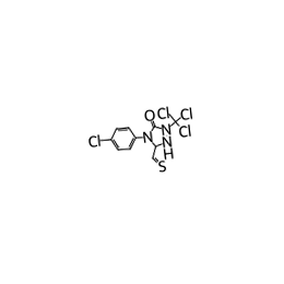 O=C1N(c2ccc(Cl)cc2)C(C=S)NN1C(Cl)(Cl)Cl